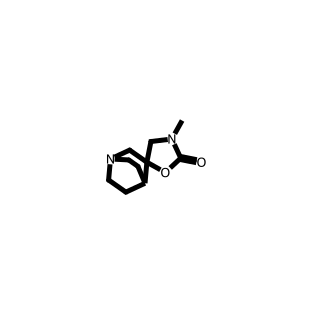 CN1CC2(CN3CCC2CC3)OC1=O